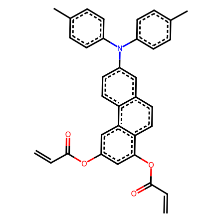 C=CC(=O)Oc1cc(OC(=O)C=C)c2ccc3cc(N(c4ccc(C)cc4)c4ccc(C)cc4)ccc3c2c1